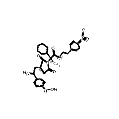 CC(C[C@@H]1CC(=O)N([C@@](C)(C(=O)NCCC2=CCC(=S(=O)=O)C=C2)C2CCCCC2)C1=O)c1ccc(NO)cc1